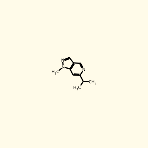 CC(C)c1cc2c(cn1)cnn2C